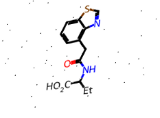 CCC(NC(=O)Cc1cccc2scnc12)C(=O)O